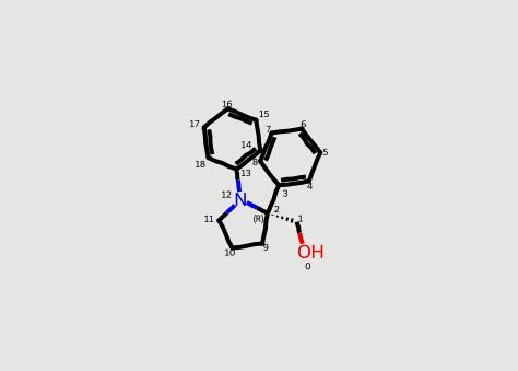 OC[C@]1(c2ccccc2)CCCN1c1ccccc1